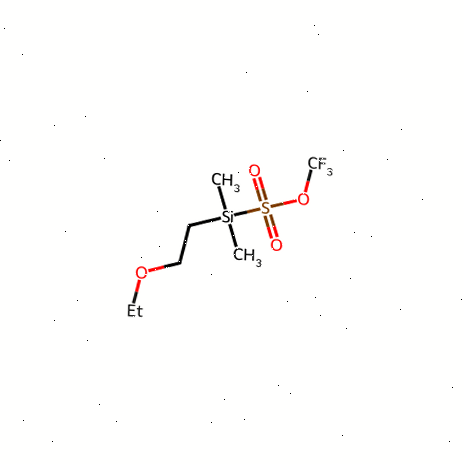 CCOCC[Si](C)(C)S(=O)(=O)OC(F)(F)F